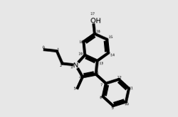 CCCn1c(C)c(-c2ccccc2)c2ccc(O)cc21